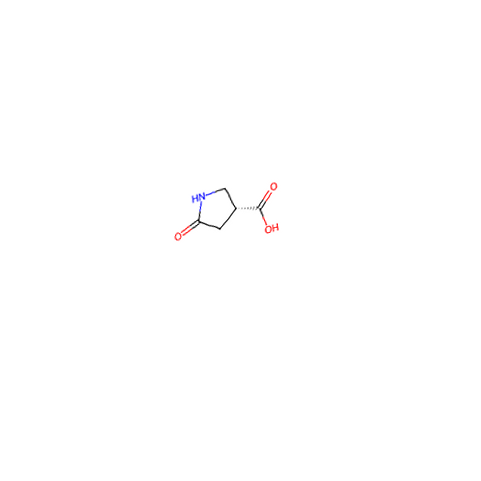 O=C1C[C@@H](C(=O)O)CN1